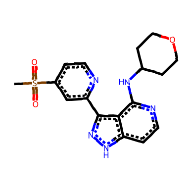 CS(=O)(=O)c1ccnc(-c2n[nH]c3ccnc(NC4CCOCC4)c23)c1